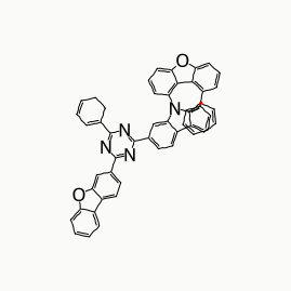 C1=CCCC(c2nc(-c3ccc4c(c3)oc3ccccc34)nc(-c3ccc4c5ccccc5n(-c5cccc6oc7cccc(-c8ccccc8)c7c56)c4c3)n2)=C1